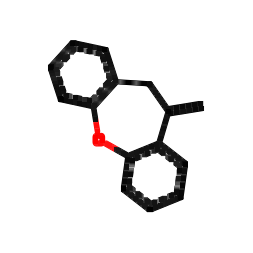 C=C1Cc2ccccc2Oc2ccccc21